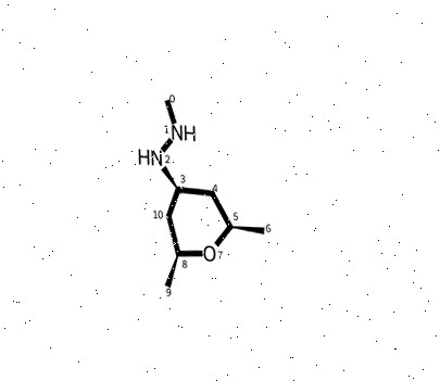 CNN[C@H]1C[C@@H](C)O[C@@H](C)C1